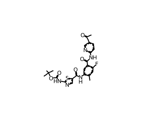 CC(=O)c1ccc(NC(=O)c2cc(NC(=O)c3cnc(NC(=O)OC(C)(C)C)s3)c(C)cc2F)nc1